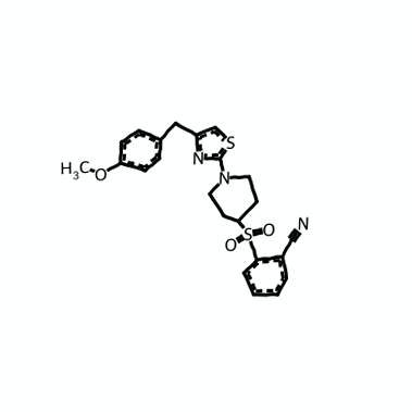 COc1ccc(Cc2csc(N3CCC(S(=O)(=O)c4ccccc4C#N)CC3)n2)cc1